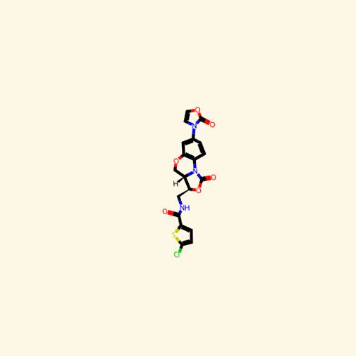 O=C(NC[C@@H]1OC(=O)N2c3ccc(-n4ccoc4=O)cc3OC[C@@H]12)c1ccc(Cl)s1